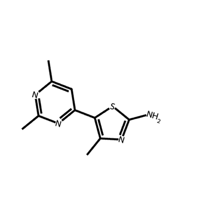 Cc1cc(-c2sc(N)nc2C)nc(C)n1